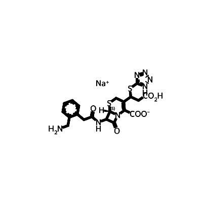 NCc1ccccc1CC(=O)NC1C(=O)N2C(C(=O)[O-])=C(C(CC(=O)O)Sc3nnn[nH]3)CS[C@@H]12.[Na+]